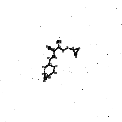 CCC(CCC1CO1)C(=O)OCC1CCC2OC2C1